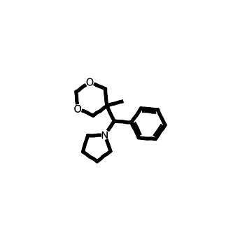 CC1(C(c2ccccc2)N2CCCC2)COCOC1